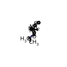 CCCN(C)C/C=C/C(=O)N1CC[C@@H](n2c(C3CC3)c(-c3ccc(Oc4ccccc4)cc3)c3c(N)ncnc32)C1